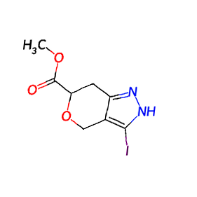 COC(=O)C1Cc2n[nH]c(I)c2CO1